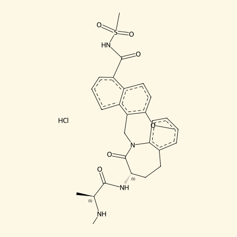 CN[C@@H](C)C(=O)N[C@H]1CCc2ccccc2N(Cc2c(OC)ccc3c(C(=O)NS(C)(=O)=O)cccc23)C1=O.Cl